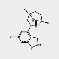 O=C1N[C@H]2CC[C@@H]1CN(c1cc(Cl)cc3c1CNN3)C2